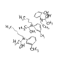 CCCCCCN(c1cccc(C)c1)C(C)O.CCCCN(c1cccc(C)c1)C(C)O.CCN(c1ccccc1C)C(C)O